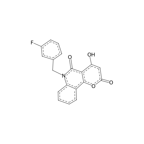 O=c1cc(O)c2c(=O)n(Cc3cccc(F)c3)c3ccccc3c2o1